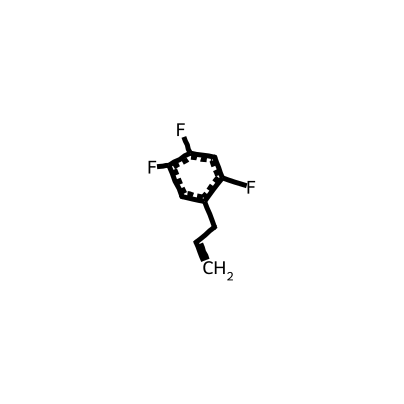 C=CCc1cc(F)c(F)cc1F